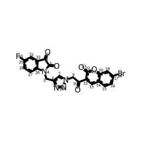 O=C1C(=O)N(Cc2cn(CC(=O)c3cc4ccc(Br)cc4oc3=O)nn2)c2ccc(F)cc21